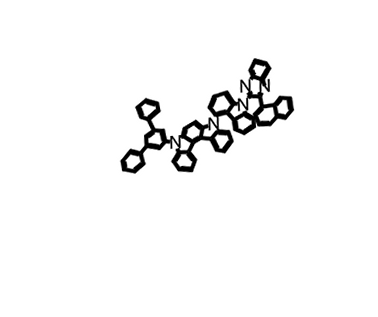 c1ccc(-c2cc(-c3ccccc3)cc(-n3c4ccccc4c4c5c6ccccc6n(-c6cccc7c6c6ccccc6n7-c6nc7ccccc7nc6-c6cccc7ccccc67)c5ccc43)c2)cc1